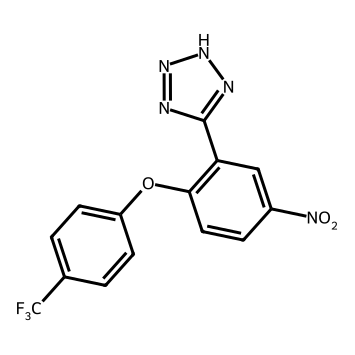 O=[N+]([O-])c1ccc(Oc2ccc(C(F)(F)F)cc2)c(-c2nn[nH]n2)c1